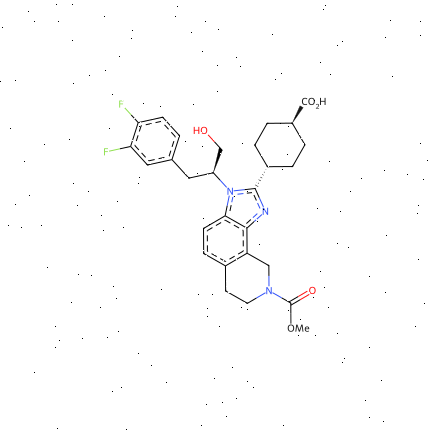 COC(=O)N1CCc2ccc3c(nc([C@H]4CC[C@H](C(=O)O)CC4)n3[C@H](CO)Cc3ccc(F)c(F)c3)c2C1